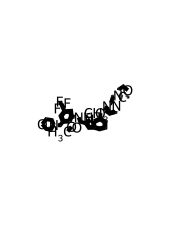 COc1c(CN2CCOCC2)cc(C(F)(F)F)cc1NC(=O)c1cc2cccc(Oc3ccnc(CN4CCOCC4)n3)c2n1C